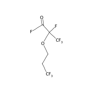 O=C(F)C(F)(OCCC(F)(F)F)C(F)(F)F